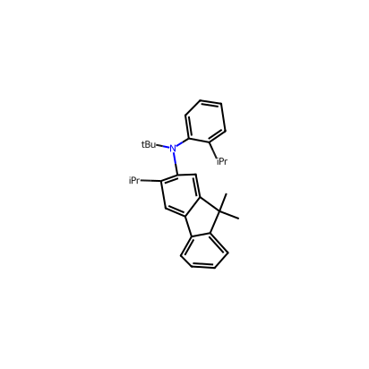 CC(C)c1ccccc1N(c1cc2c(cc1C(C)C)-c1ccccc1C2(C)C)C(C)(C)C